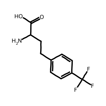 NC(CCc1ccc(C(F)(F)F)cc1)C(=O)O